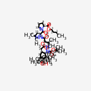 CCCCOC(=O)[C@@H]1CCCN1C(=O)[C@H](CC(C)C)NC(=O)[C@@H](OC(=O)C[C@H](CC(C)(C)[Si](C)(C)O)[C@H](NC(=O)OC(C)(C)C)[C@@H](C)CC)C(C)C